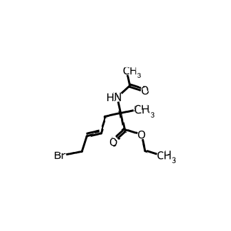 CCOC(=O)C(C)(C/C=C/CBr)NC(C)=O